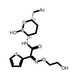 CC(=O)C[C@@H]1CC[C@H](NC(=O)/C(=N\OCCO)c2cccs2)B(O)O1